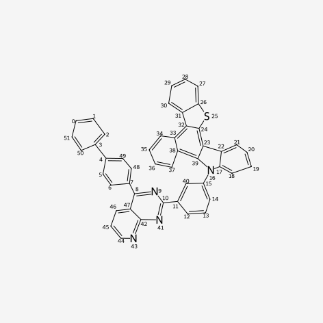 c1ccc(-c2ccc(-c3nc(-c4cccc(-n5c6ccccc6c6c7sc8ccccc8c7c7ccccc7c65)c4)nc4ncccc34)cc2)cc1